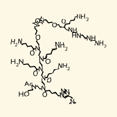 CC(=O)N(CCO)CCN(CCN(CCN(CCN(CCN(CCOCCC[Si](C)(C)O[Si](C)(C)CCCOCCC(CNCCNCCNCCN)C(=O)CCCCN)C(=O)CCCCN)C(=O)CCCCN)C(=O)CCCCN)C(=O)CCCCN)C(=O)CCCCn1cc(CN(C)C)nn1